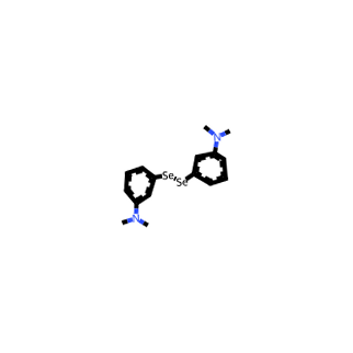 CN(C)c1cccc([Se][Se]c2cccc(N(C)C)c2)c1